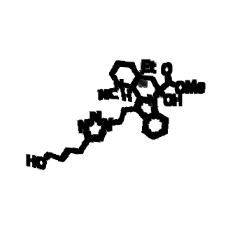 CC[C@@]12CCCN(C#N)[C@@H]1c1c(CCn3cc(CCCCO)nn3)c3ccccc3n1[C@@](O)(C(=O)OC)C2